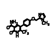 Cn1ccnc1COc1ccc(-c2cc(C(N)=O)c(=O)[nH]c2C(F)(F)F)cc1